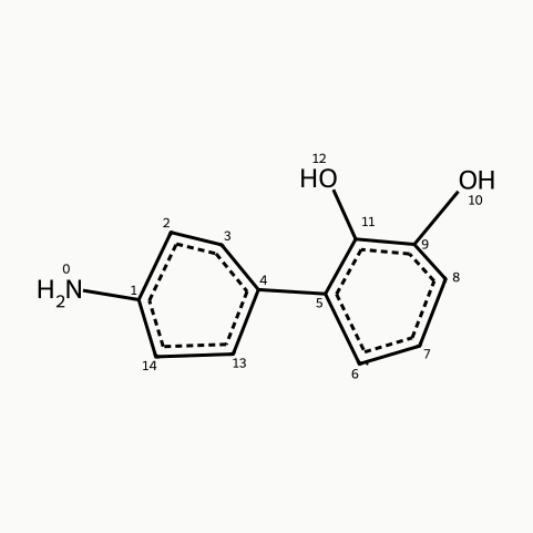 Nc1ccc(-c2[c]ccc(O)c2O)cc1